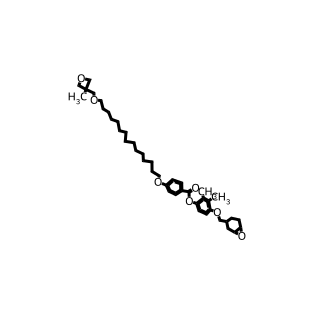 Cc1c(OCC2CCC3OC3C2)ccc(OC(=O)c2ccc(OCCCCCCCCCCCCCCCOCC3(C)COC3)cc2)c1C